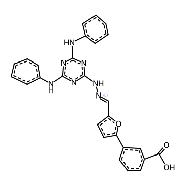 O=C(O)c1cccc(-c2ccc(/C=N/Nc3nc(Nc4ccccc4)nc(Nc4ccccc4)n3)o2)c1